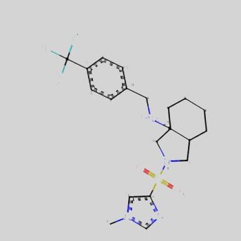 Cn1cnc(S(=O)(=O)N2CC3CCCCC3(NCc3ccc(C(F)(F)F)cc3)C2)c1